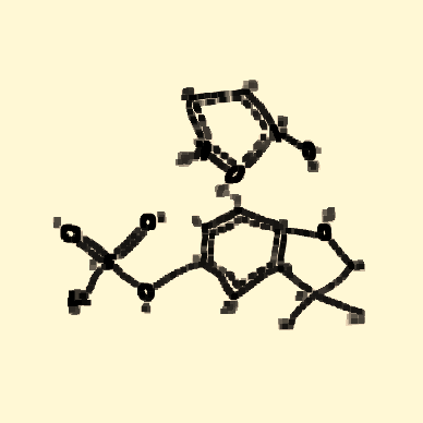 CCS(=O)(=O)Oc1ccc2c(c1)C(C)(C)CO2.[O-][n+]1ccno1